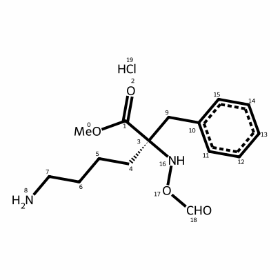 COC(=O)[C@@](CCCCN)(Cc1ccccc1)NOC=O.Cl